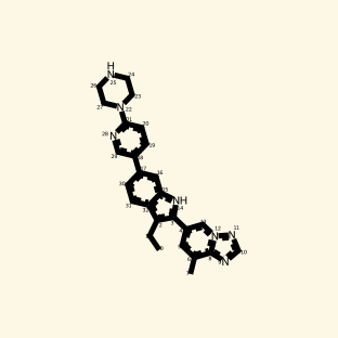 CCc1c(-c2cc(C)c3ncnn3c2)[nH]c2cc(-c3ccc(N4CCNCC4)nc3)ccc12